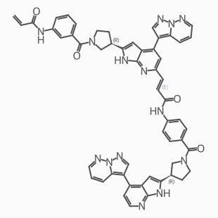 C=CC(=O)Nc1cccc(C(=O)N2CC[C@@H](c3cc4c(-c5cnn6ncccc56)cc(/C=C/C(=O)Nc5ccc(C(=O)N6CC[C@@H](c7cc8c(-c9cnn%10ncccc9%10)ccnc8[nH]7)C6)cc5)nc4[nH]3)C2)c1